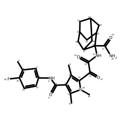 Cc1cc(NC(=O)c2c(C)c(C(=O)C(=O)NC3(C(N)=O)C4CC5CC(C4)CC3C5)n(C)c2C)ccc1F